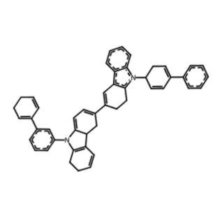 C1=CC(c2cccc(N3C4=CC=C(C5=Cc6c(n(C7C=CC(c8ccccc8)=CC7)c7ccccc67)CC5)CC4C4=C3CCC=C4)c2)=CCC1